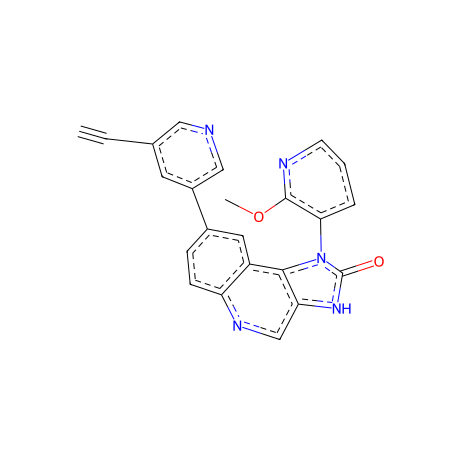 C#Cc1cncc(-c2ccc3ncc4[nH]c(=O)n(-c5cccnc5OC)c4c3c2)c1